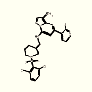 Bc1cnn2c(NCC3CCCN(S(=O)(=O)c4c(Cl)cccc4Cl)C3)cc(-c3ccccc3Cl)nc12